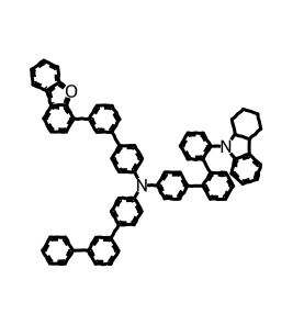 c1ccc(-c2cccc(-c3ccc(N(c4ccc(-c5cccc(-c6cccc7c6oc6ccccc67)c5)cc4)c4ccc(-c5ccccc5-c5ccccc5N5c6ccccc6C6CCCCC65)cc4)cc3)c2)cc1